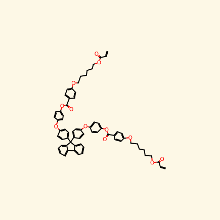 C=CC(=O)OCCCCCCOc1ccc(C(=O)Oc2ccc(Oc3ccc(C4(c5ccc(Oc6ccc(OC(=O)c7ccc(OCCCCCCOC(=O)C=C)cc7)cc6)cc5)c5ccccc5-c5ccccc54)cc3)cc2)cc1